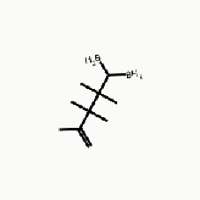 BC(B)C(C)(C)C(C)(C)C(=C)C